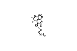 NCCCCC1=Cc2cccc3cccc(c23)C1=O